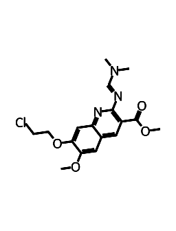 COC(=O)c1cc2cc(OC)c(OCCCl)cc2nc1N=CN(C)C